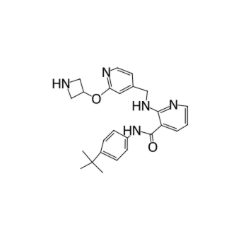 CC(C)(C)c1ccc(NC(=O)c2cccnc2NCc2ccnc(OC3CNC3)c2)cc1